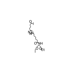 CCOCC(COCI)NC(=O)CCCCCn1cc(CCCC(=O)I)nn1